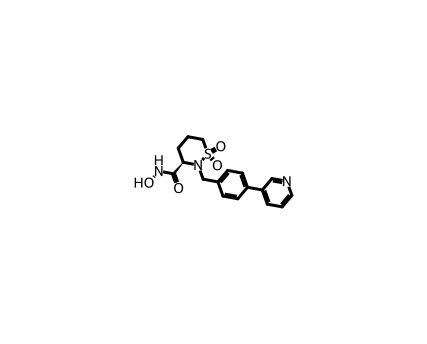 O=C(NO)[C@H]1CCCS(=O)(=O)N1Cc1ccc(-c2cccnc2)cc1